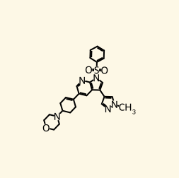 Cn1cc(-c2cn(S(=O)(=O)c3ccccc3)c3ncc(C4=CCC(N5CCOCC5)CC4)cc23)cn1